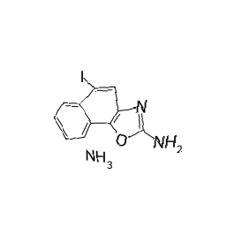 N.Nc1nc2cc(I)c3ccccc3c2o1